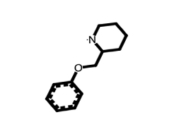 c1ccc(OCC2CCCC[N]2)cc1